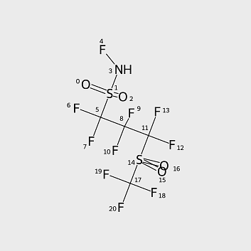 O=S(=O)(NF)C(F)(F)C(F)(F)C(F)(F)S(=O)(=O)C(F)(F)F